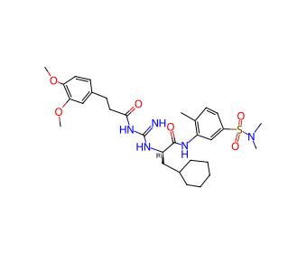 COc1ccc(CCC(=O)NC(=N)N[C@H](CC2CCCCC2)C(=O)Nc2cc(S(=O)(=O)N(C)C)ccc2C)cc1OC